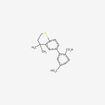 CC1(C)CCSc2ccc(-c3cc(C(=O)O)ccc3C(=O)O)cc21